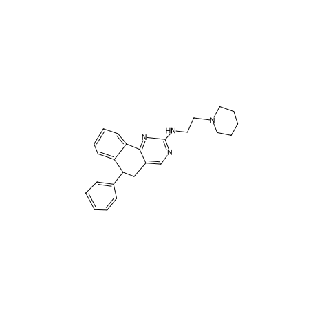 c1ccc(C2Cc3cnc(NCCN4CCCCC4)nc3-c3ccccc32)cc1